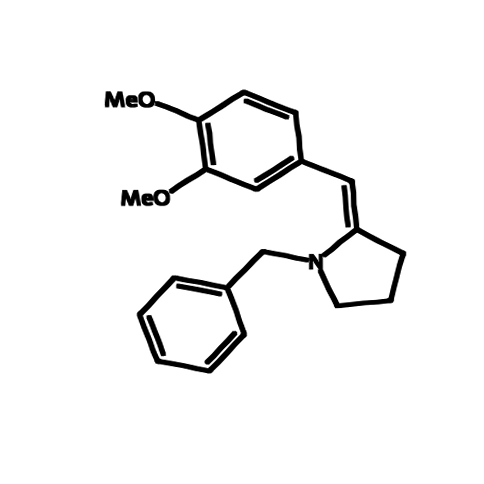 COc1ccc(C=C2CCCN2Cc2ccccc2)cc1OC